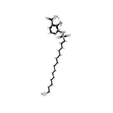 CCCCCCCCCCCCCCCCS(=O)(=O)Nc1cccc(C(C)=O)c1Br